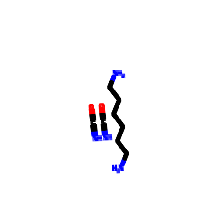 N=C=O.N=C=O.NCCCCCCN